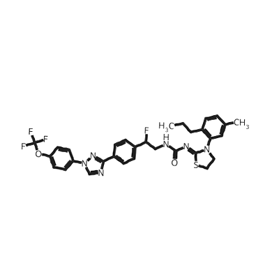 CCCc1ccc(C)cc1N1CCS/C1=N\C(=O)NCC(F)c1ccc(-c2ncn(-c3ccc(OC(F)(F)F)cc3)n2)cc1